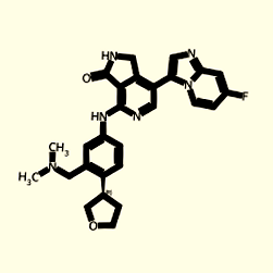 CN(C)Cc1cc(Nc2ncc(-c3cnc4cc(F)ccn34)c3c2C(=O)NC3)ccc1[C@H]1CCOC1